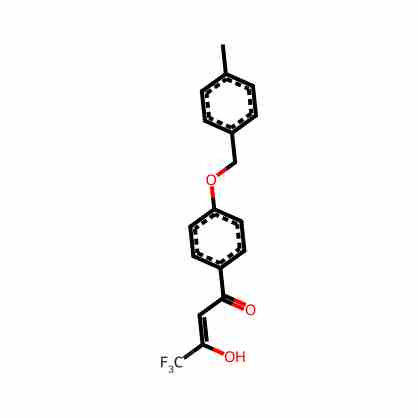 Cc1ccc(COc2ccc(C(=O)C=C(O)C(F)(F)F)cc2)cc1